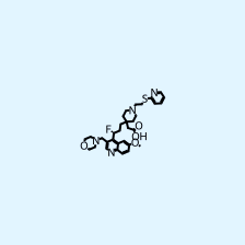 COc1ccc2ncc(CN3CCOCC3)c([C@@H](F)CCC3(CC(=O)O)CCN(CCSc4ccccn4)CC3)c2c1